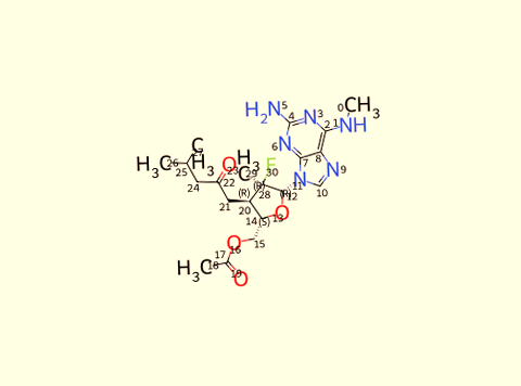 CNc1nc(N)nc2c1ncn2[C@@H]1O[C@H](COC(C)=O)[C@@H](CC(=O)CC(C)C)[C@@]1(C)F